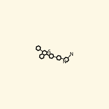 N#Cc1ccnc(-c2ccc(-c3ccc4c(c3)sc3cc(-c5ccccc5)c5ccccc5c34)cc2)c1